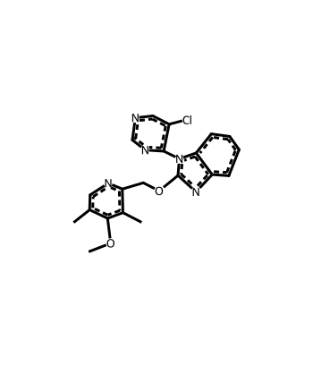 COc1c(C)cnc(COc2nc3ccccc3n2-c2ncncc2Cl)c1C